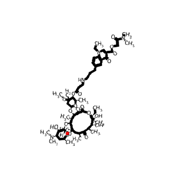 CC[C@@H]1OC(=O)[C@H](C)[C@H](O[C@@H]2C[C@](C)(OC)[C@H](OC(=O)CCNCCCc3ccc4c(c3)c(=O)c(C(=O)OCC(=O)N(C)C)cn4CC)[C@H](C)O2)[C@@H](C)[C@H](O[C@@H]2O[C@H](C)C[C@H](N(C)C)[C@@H]2O)[C@](C)(OC)C[C@H](C)C(=O)[C@H](C)[C@@H](O)[C@]1(C)O